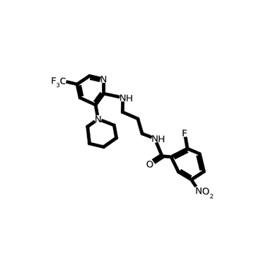 O=C(NCCCNc1ncc(C(F)(F)F)cc1N1CCCCC1)c1cc([N+](=O)[O-])ccc1F